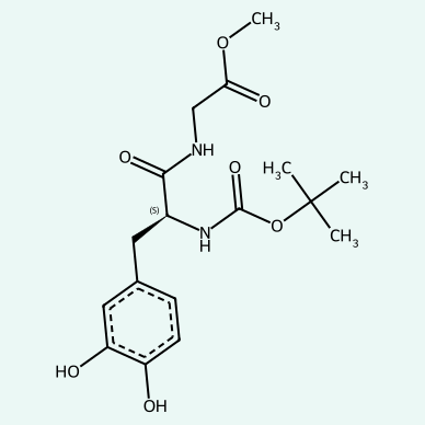 COC(=O)CNC(=O)[C@H](Cc1ccc(O)c(O)c1)NC(=O)OC(C)(C)C